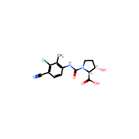 Cc1c(NC(=O)N2CC[C@H](O)[C@H]2C(=O)O)ccc(C#N)c1Cl